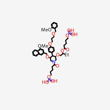 CCC(COC1CN(C(=O)CCCCON(O)O)CC(OCc2cc(OC)c3ccccc3c2)C1c1ccc(OCCCOCc2ccccc2OC)cc1)OC(=O)CCCCON(O)O